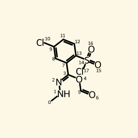 CN/N=C(\OC=O)c1cc(Cl)ccc1S(=O)(=O)Cl